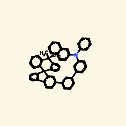 CC1(C)c2ccccc2C2(c3ccccc3-c3ccc(-c4cccc(-c5cccc(N(c6ccccc6)c6ccc7ccccc7c6)c5)c4)cc32)c2ccccc21